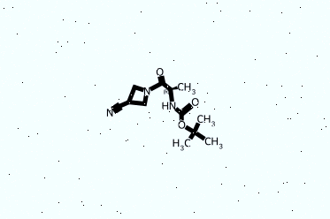 C[C@@H](NC(=O)OC(C)(C)C)C(=O)N1CC(C#N)C1